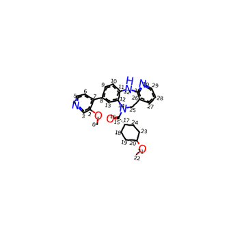 COc1cnccc1-c1ccc2c(c1)N(C(=O)[C@H]1CC[C@H](OC)CC1)Cc1cccnc1N2